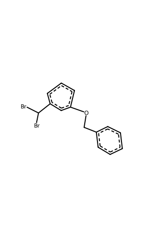 BrC(Br)c1cccc(OCc2ccccc2)c1